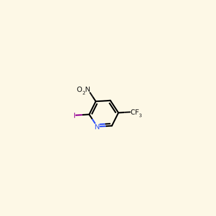 O=[N+]([O-])c1cc(C(F)(F)F)cnc1I